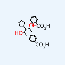 CC(O)C(C(C)O)C1CCCC1.O=C(O)c1ccccc1.O=C(O)c1ccccc1